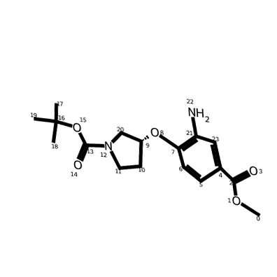 COC(=O)c1ccc(O[C@@H]2CCN(C(=O)OC(C)(C)C)C2)c(N)c1